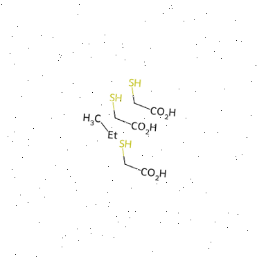 CCC.O=C(O)CS.O=C(O)CS.O=C(O)CS